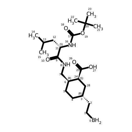 BCC[C@@H]1CC[C@@H](CNC(=O)[C@H](CC(C)C)NC(=O)OC(C)(C)C)[C@@H](C(=O)O)C1